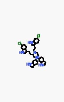 Clc1ccc2c(CCC3C[N+](c4ccc5cc[nH]c5c4)(c4ccc5cc[nH]c5c4)CCN3CCc3c[nH]c4cc(Cl)ccc34)c[nH]c2c1